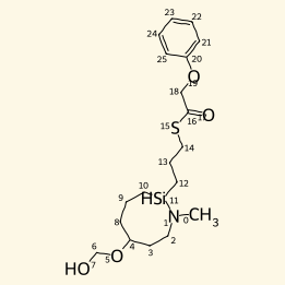 CN1CCC(OCO)CCC[SiH]1CCCSC(=O)COc1ccccc1